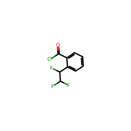 O=C(Cl)c1ccccc1C(F)C(F)F